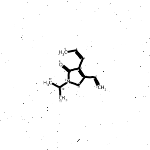 C=CC1=C(/C=C\C)C(=O)N(C(C)C)C1